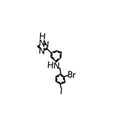 Brc1cc(I)ccc1CNc1cccc(-c2nc[nH]n2)c1